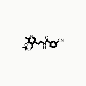 Cc1ncc(CCNC(=O)c2cccc(C#N)c2)c2c1OC(C)(C)OC2